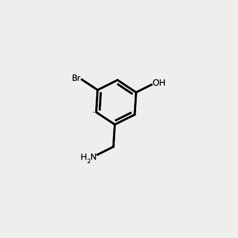 NCc1[c]c(Br)cc(O)c1